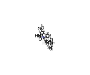 COC(=O)c1ccc2c(c1)NC(=O)/C2=C(\Nc1cc(C(=O)N(C)CCN(C)C)n(C)c1)c1ccccc1